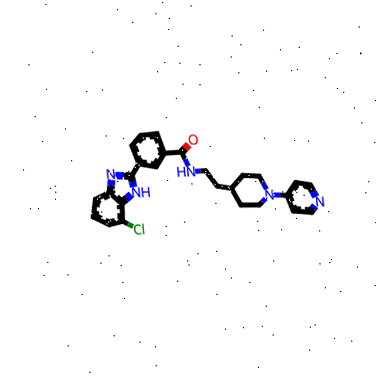 O=C(NCCC1CCN(c2ccncc2)CC1)c1cccc(-c2nc3cccc(Cl)c3[nH]2)c1